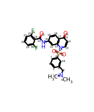 CN(C)Cc1cccc(S(=O)(=O)n2ccc(=O)c3ccc(NC(=O)c4c(F)cccc4F)cc32)c1